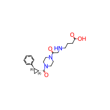 O=C(O)CCCNCC(=O)N1CCN(C(=O)[C@@H]2C[C@H]2c2ccccc2)CC1